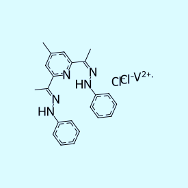 CC(=NNc1ccccc1)c1cc(C)cc(C(C)=NNc2ccccc2)n1.[Cl-].[Cl-].[V+2]